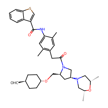 Cc1cc(NC(=O)c2csc3ccccc23)c(C)cc1CC(=O)N1C[C@@H](N2C[C@@H](C)O[C@@H](C)C2)C[C@H]1CO[C@H]1CC[C@H](C=O)CC1